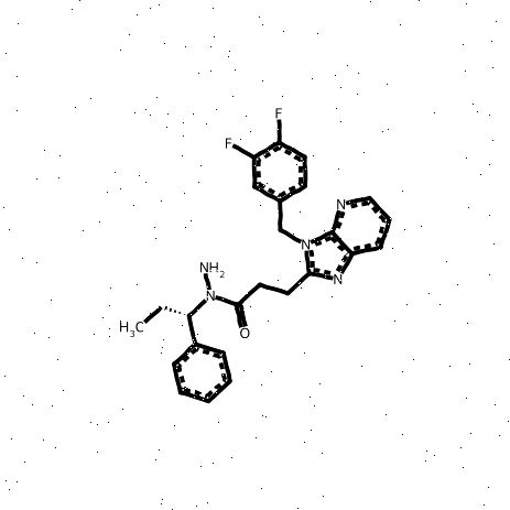 CC[C@@H](c1ccccc1)N(N)C(=O)CCc1nc2cccnc2n1Cc1ccc(F)c(F)c1